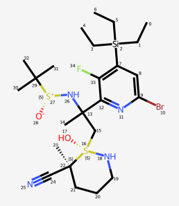 CC[Si](CC)(CC)c1cc(Br)nc(C(C)(C[S@@]2(O)NCCC[C@@]2(C)C#N)N[S@+]([O-])C(C)(C)C)c1F